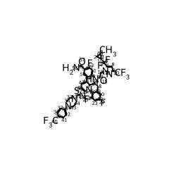 C[C@@H]1C[C@@H]1C(F)(F)c1cc(C(F)(F)F)nn1CC(=O)N[C@@H](Cc1cc(F)cc(F)c1)c1nc2nc(N3CCN(c4ccc(C(F)(F)F)cc4)CC3)sc2cc1-c1ccc(F)c(C(N)=O)c1